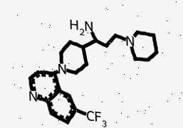 NC(CCN1CCCCC1)C1CCN(c2ccnc3ccc(C(F)(F)F)cc23)CC1